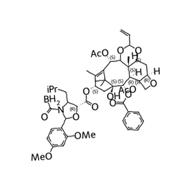 BC(=O)N1C(c2ccc(OC)cc2OC)O[C@@H](C(=O)O[C@H]2C[C@@]3(O)[C@@H](OC(=O)c4ccccc4)[C@@H]4[C@]5(OC(C)=O)CO[C@@H]5C[C@@H]5OC(C=C)OC([C@@H](OC(C)=O)C(=C2C)C3(C)C)[C@]54C)C1CC(C)C